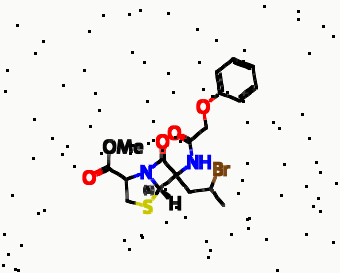 COC(=O)C1CS[C@@H]2N1C(=O)C2(CC(C)Br)NC(=O)COc1ccccc1